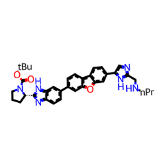 CCCNCc1ncc(-c2ccc3c(c2)oc2cc(-c4ccc5nc([C@@H]6CCCN6C(=O)OC(C)(C)C)[nH]c5c4)ccc23)[nH]1